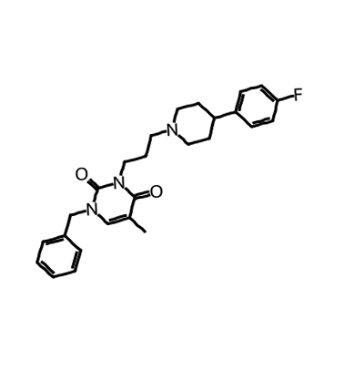 Cc1cn(Cc2ccccc2)c(=O)n(CCCN2CCC(c3ccc(F)cc3)CC2)c1=O